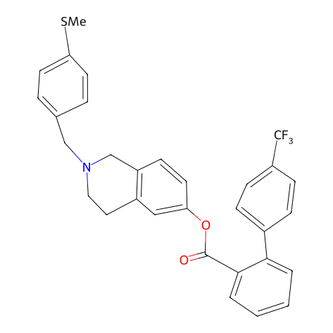 CSc1ccc(CN2CCc3cc(OC(=O)c4ccccc4-c4ccc(C(F)(F)F)cc4)ccc3C2)cc1